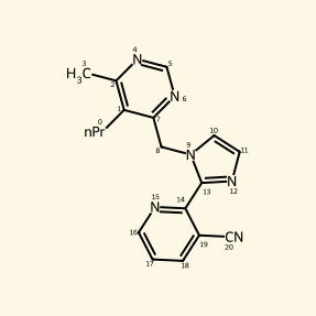 CCCc1c(C)ncnc1Cn1ccnc1-c1ncccc1C#N